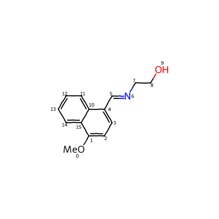 COc1ccc(C=NCCO)c2ccccc12